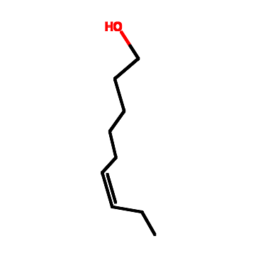 CC/C=C\CCCCCO